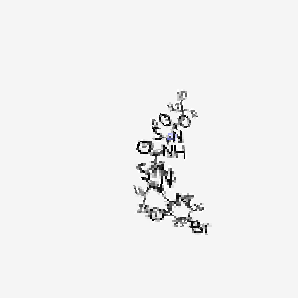 CS/C(=N\C(=O)OC(C)(C)C)NC(=O)c1nc2c(s1)CCOc1cc(Br)cnc1-2